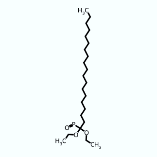 CCCCCCCCCCCCCCCCCCC(OCC)(OCC)P=O